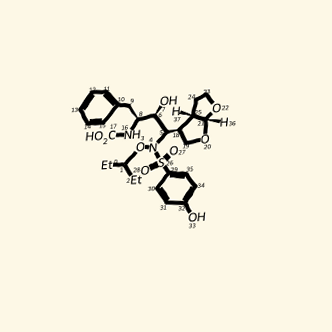 CCC(CC)ON(C([C@H](O)[C@H](Cc1ccccc1)NC(=O)O)[C@@H]1CO[C@H]2OCC[C@H]21)S(=O)(=O)c1ccc(O)cc1